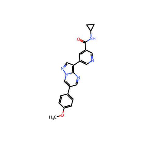 COc1ccc(-c2cnc3c(-c4cncc(C(=O)NC5CC5)c4)cnn3c2)cc1